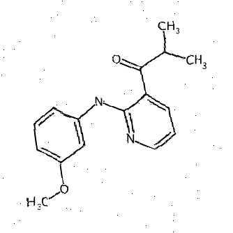 COc1cccc([N]c2ncccc2C(=O)C(C)C)c1